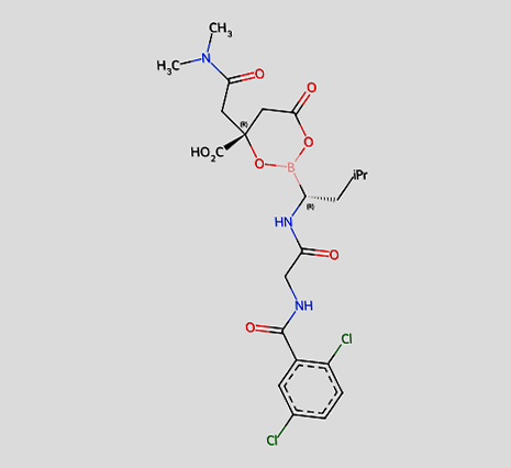 CC(C)C[C@H](NC(=O)CNC(=O)c1cc(Cl)ccc1Cl)B1OC(=O)C[C@](CC(=O)N(C)C)(C(=O)O)O1